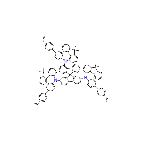 C=Cc1ccc(-c2ccc(N(c3ccc4c(c3)C3(c5cc(N(c6ccc(-c7ccc(C=C)cc7)cc6)c6cccc7c6-c6ccccc6C7(C)C)ccc5-4)c4ccccc4-c4c(N(c5ccc(-c6ccc(C=C)cc6)cc5)c5cccc6c5-c5ccccc5C6(C)C)cccc43)c3cccc4c3-c3ccccc3C4(C)C)cc2)cc1